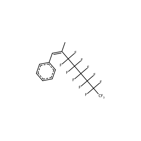 CC(=Cc1ccccc1)C(F)(F)C(F)(F)C(F)(F)C(F)(F)C(F)(F)C(F)(F)F